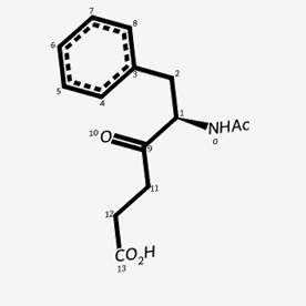 CC(=O)N[C@H](Cc1ccccc1)C(=O)CCC(=O)O